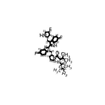 CC(C)[C@H](NC(=O)OC(C)(C)C)C(=O)N1CCC[C@H]1Cn1c(-c2[nH]c3cc(F)ccc3c2C[C@@H]2C[C@H](F)CN2)nc2cc(F)ccc21